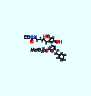 CCNC(=O)CCCC=CC[C@@H]1[C@@H](C=C[C@H](CCc2ccccc2)OCOCCOC)[C@H](O)C[C@@H]1O